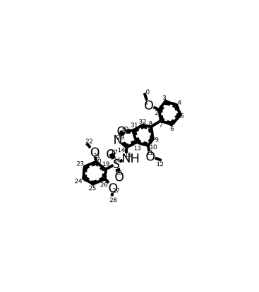 COc1ccccc1-c1cc(OC)c2c(NS(=O)(=O)c3c(OC)cccc3OC)noc2c1